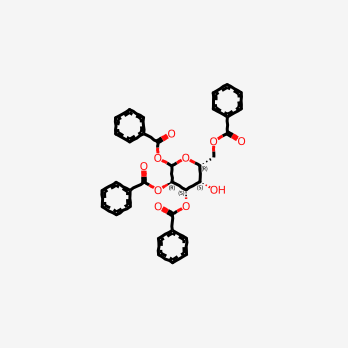 O=C(OC[C@H]1OC(OC(=O)c2ccccc2)[C@H](OC(=O)c2ccccc2)[C@@H](OC(=O)c2ccccc2)[C@H]1O)c1ccccc1